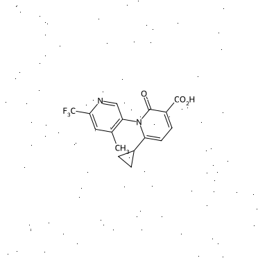 Cc1cc(C(F)(F)F)ncc1-n1c(C2CC2)ccc(C(=O)O)c1=O